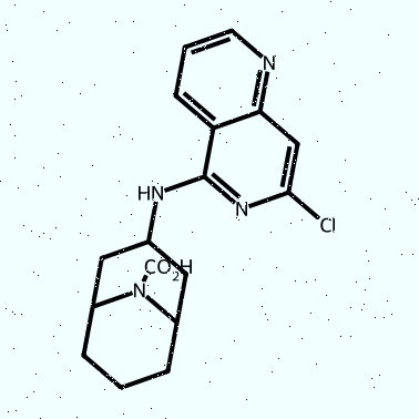 O=C(O)N1C2CCCC1CC(Nc1nc(Cl)cc3ncccc13)C2